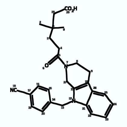 CC(C)(CCC(=O)N1CCc2c(n(Cc3ccc(C#N)cc3)c3ccccc23)C1)CC(=O)O